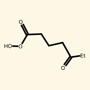 CCC(=O)CCCC(=O)OO